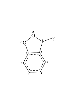 [CH2]C1OOc2ccccc21